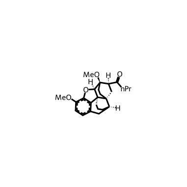 CCCC(=O)[C@H]1C[C@@]23CC[C@]1(OC)[C@@H]1Oc4c(OC)ccc5c4[C@@]12CCC[C@@H]3C5